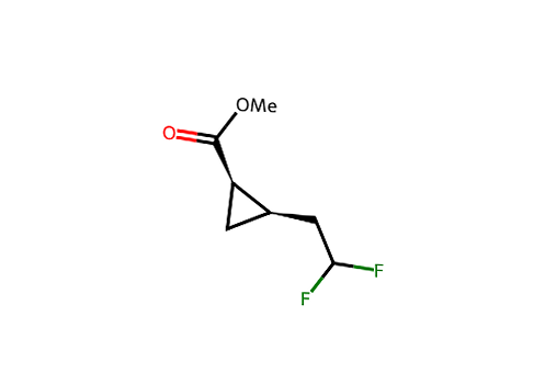 COC(=O)[C@@H]1C[C@@H]1CC(F)F